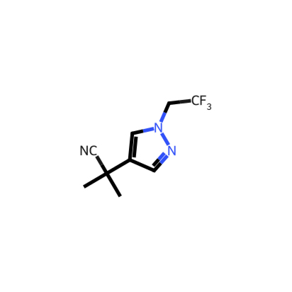 CC(C)(C#N)c1cnn(CC(F)(F)F)c1